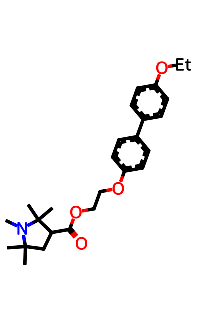 CCOc1ccc(-c2ccc(OCCOC(=O)C3CC(C)(C)N(C)C3(C)C)cc2)cc1